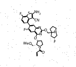 C=CC(=O)N1CC[C@@H](Oc2nc(OCC34CCCN3C[C@H](F)C4)nc3cc(-c4ccc(F)c5sc(N)c(C#N)c45)c(F)cc23)[C@H]1COC